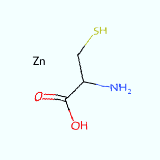 NC(CS)C(=O)O.[Zn]